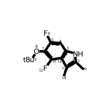 Cc1[nH]c2cc(F)c(OC(C)(C)C)c(F)c2c1C